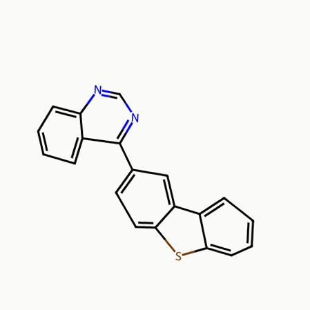 c1ccc2c(-c3ccc4sc5ccccc5c4c3)ncnc2c1